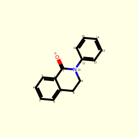 O=C1c2ccccc2CCN1c1ccccc1